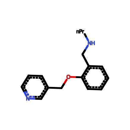 CCCNCc1ccccc1OCc1cccnc1